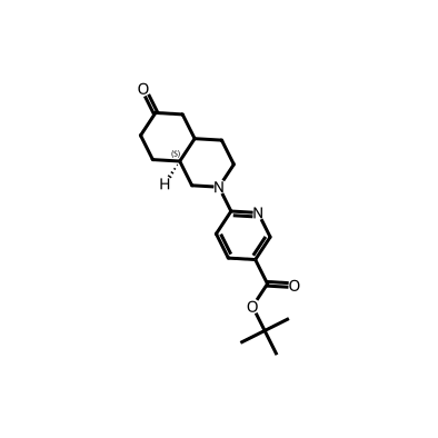 CC(C)(C)OC(=O)c1ccc(N2CCC3CC(=O)CC[C@@H]3C2)nc1